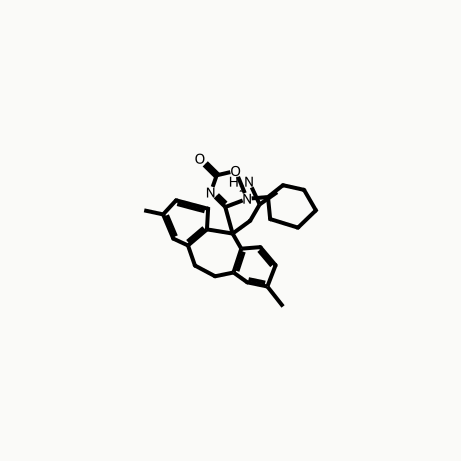 Cc1ccc2c(c1)CCc1cc(C)ccc1C2(CC(C)N)c1nc(=O)on1C1CCCCC1